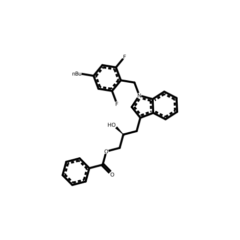 CCCCc1cc(F)c(Cn2cc(C[C@H](O)COC(=O)c3ccccc3)c3ccccc32)c(F)c1